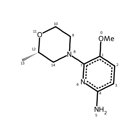 COc1ccc(N)nc1N1CCO[C@@H](C)C1